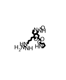 N=C(N)NCCCCC(=O)c1ccnc(NC=O)c1CCC(=O)OC1CCCN1